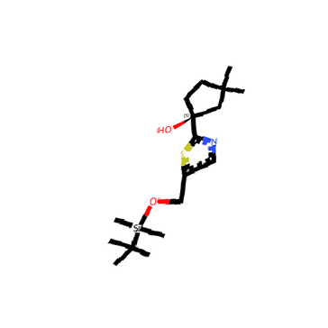 CC1(C)CC[C@@](O)(c2ncc(CO[Si](C)(C)C(C)(C)C)s2)C1